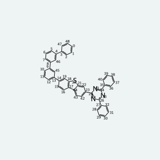 c1ccc(-c2cccc(-c3cccc(-c4ccc5c(c4)sc4cc(-c6nc(-c7ccccc7)nc(-c7ccccc7)n6)ccc45)c3)c2)cc1